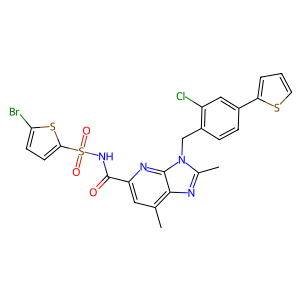 Cc1cc(C(=O)NS(=O)(=O)c2ccc(Br)s2)nc2c1nc(C)n2Cc1ccc(-c2cccs2)cc1Cl